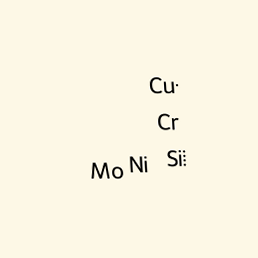 [Cr].[Cu].[Mo].[Ni].[Si]